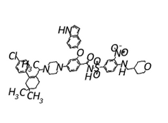 CC(C1=C(c2ccc(Cl)cc2)CC(C)(C)CC1)N1CCN(c2ccc(C(=O)NS(=O)(=O)c3ccc(NCC4CCOCC4)c([N+](=O)[O-])c3)c(Oc3ccc4[nH]ccc4c3)c2)CC1